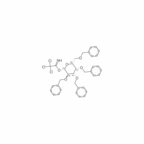 N=C(O[C@@H]1O[C@H](COCc2ccccc2)[C@H](OCc2ccccc2)[C@H](OCc2ccccc2)[C@H]1OCc1ccccc1)C(Cl)(Cl)Cl